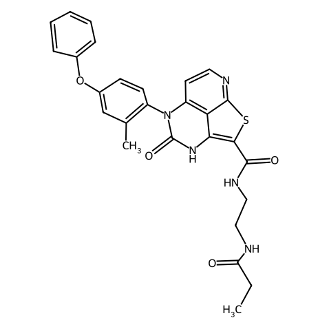 CCC(=O)NCCNC(=O)c1sc2nccc3c2c1NC(=O)N3c1ccc(Oc2ccccc2)cc1C